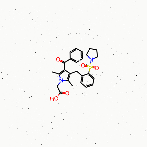 Cc1c(Cc2ccccc2S(=O)(=O)N2CCCC2)c(C(=O)c2ccccc2)c(C)n1CC(=O)O